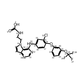 O=C(O)NCCn1ccc2ncnc(Nc3ccc(Oc4cccc(OC(F)(F)F)c4)c(Cl)c3)c21